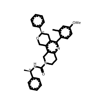 COc1ccc(-c2nc3c(c4c2C[C@H](c2ccccc2)OC4)CN(C(=O)N[C@H](C)c2ccccc2)CC3)c(C)c1